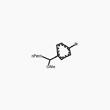 CCCCCC(OC)c1ccc(Br)cc1